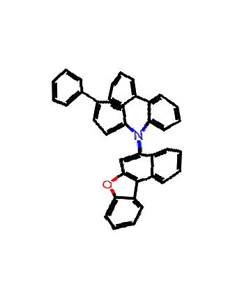 c1ccc(-c2ccc(N(c3ccccc3-c3ccccc3)c3cc4oc5ccccc5c4c4ccccc34)cc2)cc1